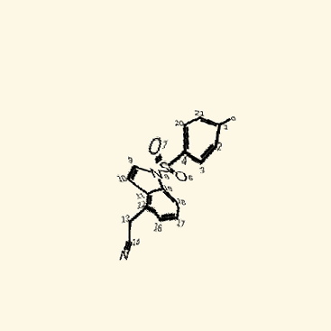 Cc1ccc(S(=O)(=O)n2ccc3c(CC#N)cccc32)cc1